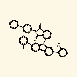 Cc1ccccc1-c1ccc2c3ccc(-c4ccccc4C)cc3n(-c3cccc4c3C(=O)N(c3ccc(-c5ccccc5)cc3)C4=O)c2c1